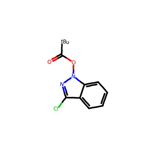 CC(C)(C)C(=O)On1nc(Cl)c2ccccc21